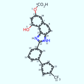 O=C(O)Oc1cc(O)c2c(ccc3[nH]c(-c4cccc(-c5ccc(C(F)(F)F)cc5)c4)nc32)c1